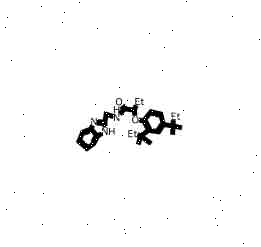 CCC(Oc1ccc(C(C)(C)CC)cc1C(C)(C)CC)C(=O)NCc1nc2ccccc2[nH]1